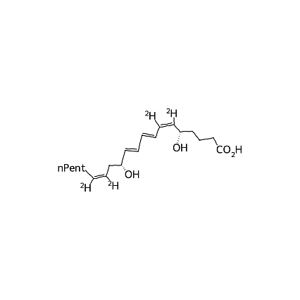 [2H]C(/C=C/C=C/[C@H](O)C/C([2H])=C(/[2H])CCCCC)=C(\[2H])[C@@H](O)CCCC(=O)O